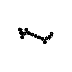 c1ccc(N(c2ccc(-c3ccc(-c4ccc(-c5ccc(-c6ccc(N(c7ccccc7)c7ccc8c(c7)c7c9oc%10ccccc%10c9ccc7n8-c7ccccc7)cc6)cc5)cc4)cc3)cc2)c2ccc3c(c2)sc2cc4sc5ccccc5c4cc23)cc1